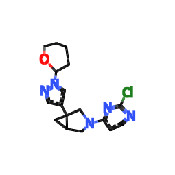 Clc1nccc(N2CC3CC3(c3cnn(C4CCCCO4)c3)C2)n1